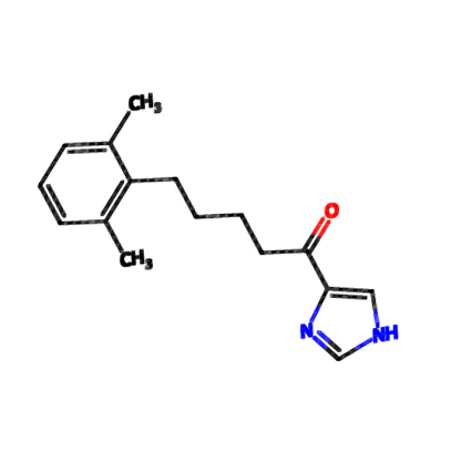 Cc1cccc(C)c1CCCCC(=O)c1c[nH]cn1